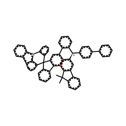 CC1(C)c2ccccc2-c2cc([C@H](c3ccc(-c4ccccc4)cc3)c3ccccc3-c3ccc4c(c3)C3(c5ccccc5-4)c4ccccc4-n4c5ccccc5c5cccc3c54)ccc21